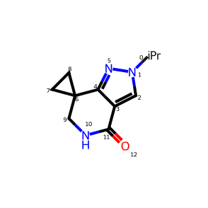 CC(C)n1cc2c(n1)C1(CC1)CNC2=O